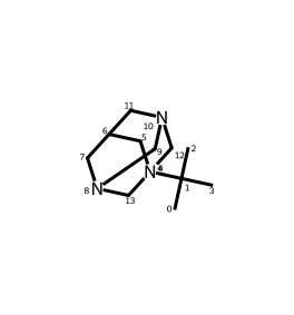 CC(C)(C)[N+]12CC3CN(CN(C3)C1)C2